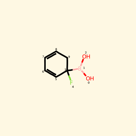 OB(O)C1(F)C=CC=CC1